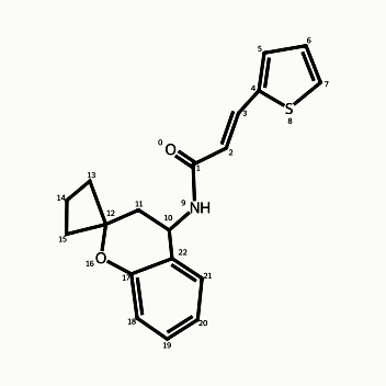 O=C(C=Cc1cccs1)NC1CC2(CCC2)Oc2ccccc21